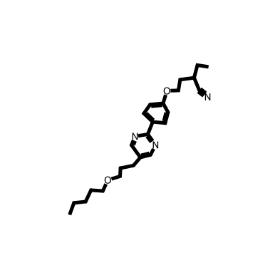 CCCCCOCCCc1cnc(-c2ccc(OCCC(C#N)CC)cc2)nc1